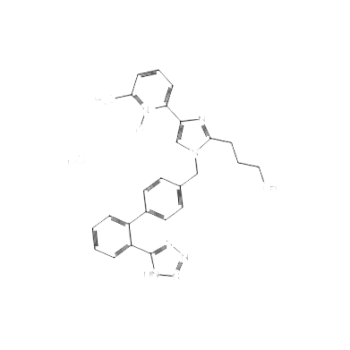 CCCCc1nc(-c2cccc(C)[n+]2[O-])cn1Cc1ccc(-c2ccccc2-c2nnn[nH]2)cc1.Cl